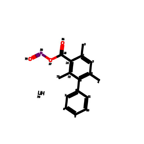 Cc1cc(C)c(-c2ccccc2)c(C)c1C(=O)OP=O.[LiH]